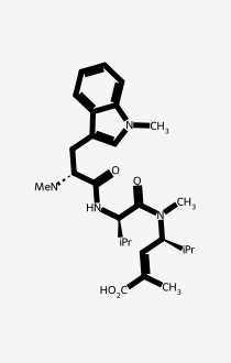 CN[C@H](Cc1cn(C)c2ccccc12)C(=O)N[C@@H](C(=O)N(C)[C@H](/C=C(\C)C(=O)O)C(C)C)C(C)C